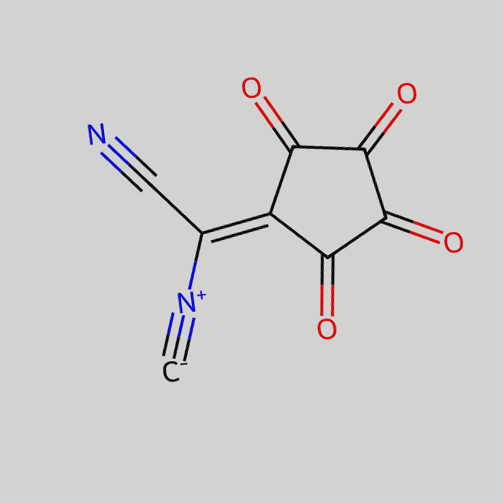 [C-]#[N+]C(C#N)=C1C(=O)C(=O)C(=O)C1=O